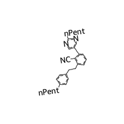 CCCCCc1ccc(CCc2cccc(-c3cnc(CCCCC)nc3)c2C#N)cc1